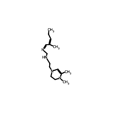 CC/C=C(C)\C=N/CNCCN1C=C(C)N(C)CC1